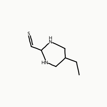 CCC1CNC(C=S)NC1